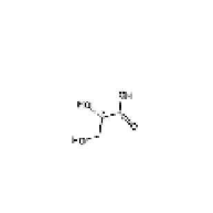 O=C(O)[C@@H](O)CO